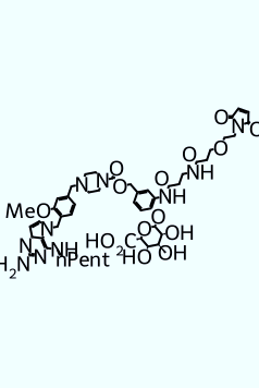 CCCCCNc1nc(N)nc2ccn(Cc3ccc(CN4CCN(C(=O)OCc5ccc(O[C@@H]6O[C@H](C(=O)O)[C@@H](O)[C@H](O)[C@H]6O)c(NC(=O)CCNC(=O)CCOCCN6C(=O)C=CC6=O)c5)CC4)cc3OC)c12